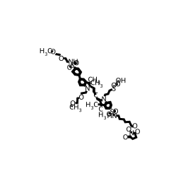 COCCOCCNS(=O)(=O)c1ccc(-c2ccc3c(c2)C(C)(C)C(/C=C/C/C=C2\N(CCCSOOO)c4ccc(S(=O)(=O)NCCCCCC(=O)ON5C(=O)CCC5=O)cc4C2(C)C)=[N+]3CCOCCOC)cc1